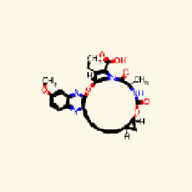 CC[C@@H]1[C@@H]2CN(C(=O)[C@H](C)NC(=O)O[C@@H]3C[C@H]3CCCCCc3nc4ccc(OC)cc4nc3O2)[C@@H]1C(=O)O